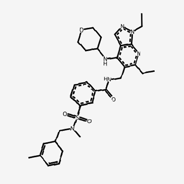 CCc1nc2c(cnn2CC)c(NC2CCOCC2)c1CNC(=O)c1cccc(S(=O)(=O)N(C)CC2C=C(C)C=CC2)c1